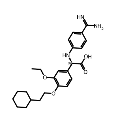 CCOc1cc([C@@H](Nc2ccc(C(=N)N)cc2)C(=O)O)ccc1OCCC1CCCCC1